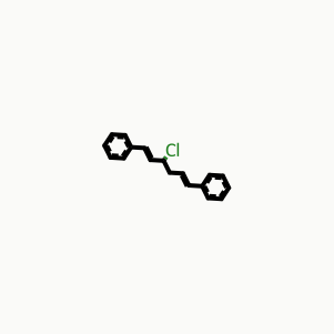 ClC(C=Cc1ccccc1)CC=Cc1ccccc1